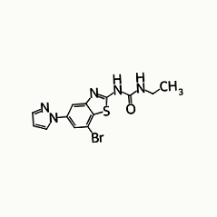 CCNC(=O)Nc1nc2cc(-n3cccn3)cc(Br)c2s1